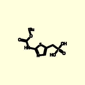 CC(C)(C)OC(=O)Nc1ncc(CP(=O)(O)O)s1